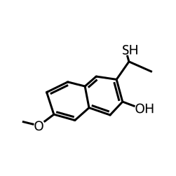 COc1ccc2cc(C(C)S)c(O)cc2c1